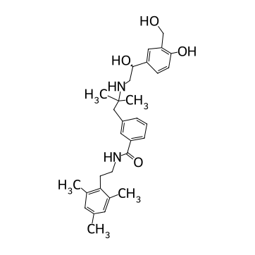 Cc1cc(C)c(CCNC(=O)c2cccc(CC(C)(C)NC[C@@H](O)c3ccc(O)c(CO)c3)c2)c(C)c1